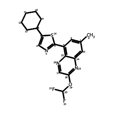 Cc1cc(-c2ncc(C3CCCCC3)s2)c2ncc(OC(F)F)nc2c1